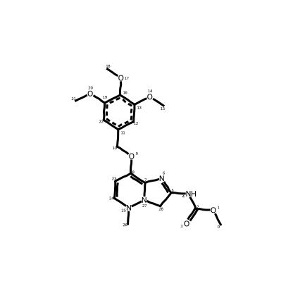 COC(=O)NC1=NC2=C(OCc3cc(OC)c(OC)c(OC)c3)C=CN(C)N2C1